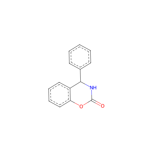 O=C1NC(c2ccccc2)c2ccccc2O1